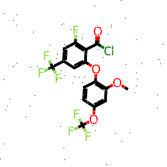 COc1cc(OC(F)(F)F)ccc1Oc1cc(C(F)(F)F)cc(F)c1C(=O)Cl